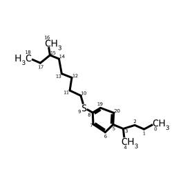 CCCC(C)c1ccc(SCCCCCC(C)CC)cc1